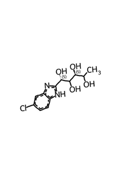 CC(O)[C@H](O)C(O)[C@@H](O)c1nc2cc(Cl)ccc2[nH]1